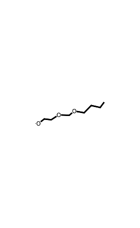 CCCCOCOCC[O]